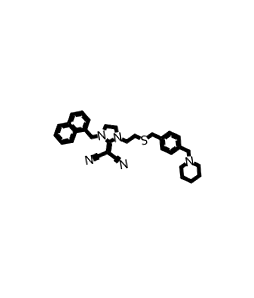 N#CC(C#N)=C1N(CCSCc2ccc(CN3CCCCC3)cc2)CCN1Cc1cccc2ccccc12